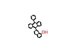 Oc1cccc2ccc(-c3c4ccccc4c(-c4ccccc4)c4ccccc34)cc12